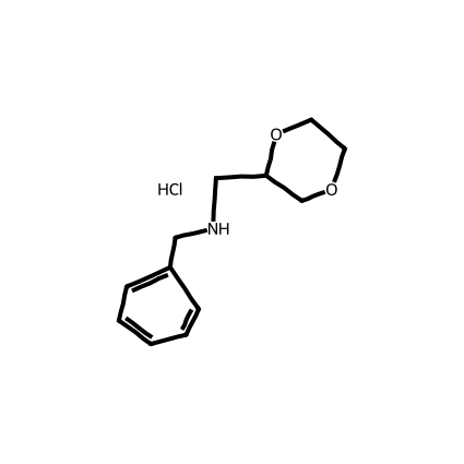 Cl.c1ccc(CNCC2COCCO2)cc1